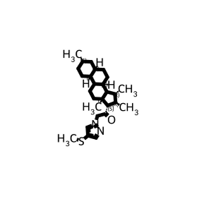 CSc1cnn(CC(=O)[C@H]2[C@H](C)[C@@H](C)C3[C@@H]4CC[C@@H]5C[C@@H](C)CC[C@@H]5C4CC[C@@]32C)c1